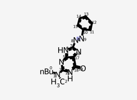 CCCCN(C)c1nc2[nH]c(/N=N/c3ccccc3)nc2c(=O)[nH]1